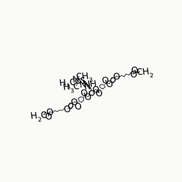 C=CC(=O)OCCCCCCOc1ccc(OC(=O)[C@H]2CC[C@H](C(=O)Oc3ccc(OC(=O)[C@H]4CC[C@H](C(=O)Oc5ccc(OCCCCCCOC(=O)C=C)cc5)CC4)c(/C=N/Nc4nc5c(C)c(C)nc(C)c5s4)c3)CC2)cc1